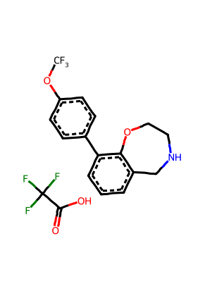 FC(F)(F)Oc1ccc(-c2cccc3c2OCCNC3)cc1.O=C(O)C(F)(F)F